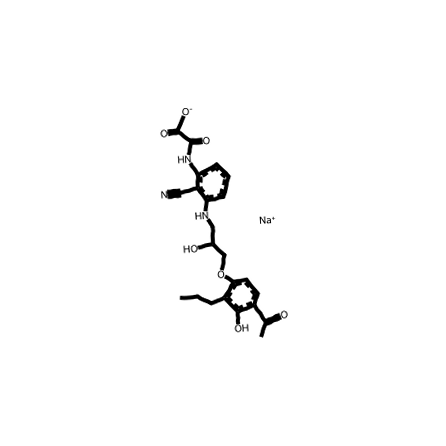 CCCc1c(OCC(O)CNc2cccc(NC(=O)C(=O)[O-])c2C#N)ccc(C(C)=O)c1O.[Na+]